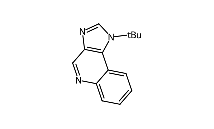 CC(C)(C)n1cnc2cnc3ccccc3c21